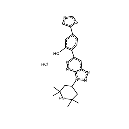 CC1(C)CC(n2nnc3cc(-c4ccc(-c5cncs5)cc4O)nnc32)CC(C)(C)N1.Cl